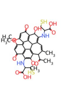 COC1=CC(=O)C2=C3C1=C1C(OC)=CC(=O)c4c(NC(CS)C(=O)O)c(OC)c5c(c41)C3C(=C(NC(CS)C(=O)O)C2O)C=C(C)C5C(C)=O